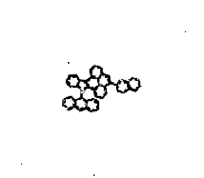 c1ccc2cc(-c3cc4cccc5c4c4c3cccc4c3c5c4ccccc4n3-c3c4ccccc4cc4ccccc34)ccc2c1